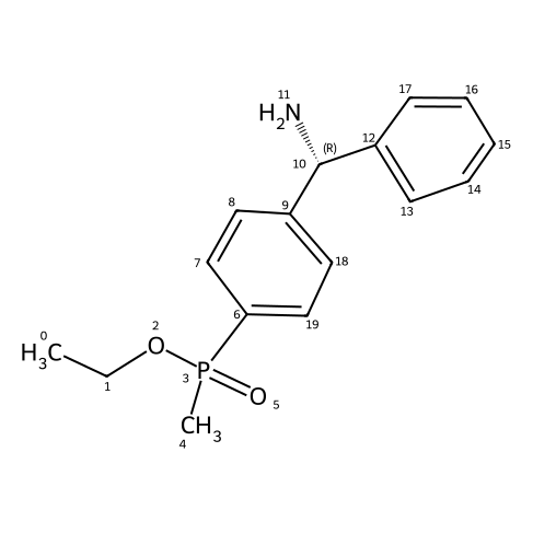 CCOP(C)(=O)c1ccc([C@H](N)c2ccccc2)cc1